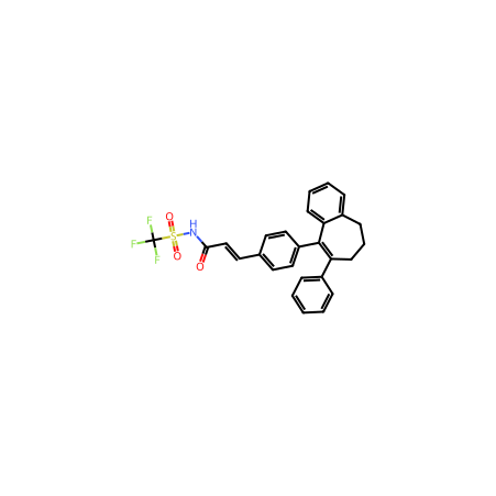 O=C(C=Cc1ccc(C2=C(c3ccccc3)CCCc3ccccc32)cc1)NS(=O)(=O)C(F)(F)F